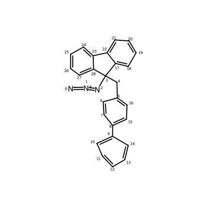 [N-]=[N+]=NC1(Cc2ccc(-c3ccccc3)cc2)c2ccccc2-c2ccccc21